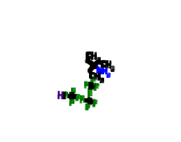 CCC(N)(CC)CC.F[B-](F)(F)F.F[B-](F)(F)F.F[B-](F)(F)F.I